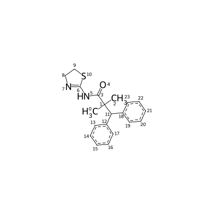 CC(C)(C(=O)NC1=NCCS1)C(c1ccccc1)c1ccccc1